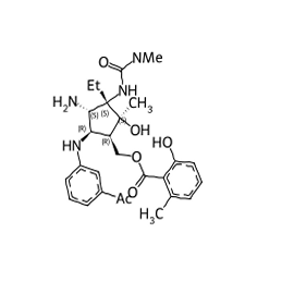 CC[C@]1(NC(=O)NC)[C@@H](N)[C@H](Nc2cccc(C(C)=O)c2)[C@H](COC(=O)c2c(C)cccc2O)[C@]1(C)O